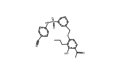 CCCc1c(OCc2cccc(S(=O)(=O)Nc3ccc(C#N)cc3)c2)ccc(C(C)=O)c1O